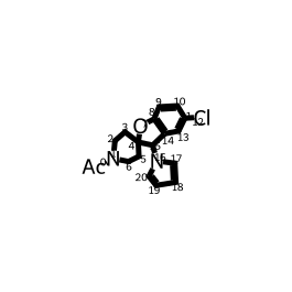 CC(=O)N1CCC2(CC1)Oc1ccc(Cl)cc1C2n1cccc1